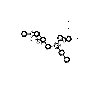 CC1(C)c2cc(-c3cccc(-c4nc(-c5ccc(-c6ccccc6)cc5)nc(-c5cccc6c5oc5ccccc56)n4)c3)ccc2-c2ccc3nc(-c4ccccc4)oc3c21